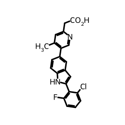 Cc1cc(CC(=O)O)ncc1-c1ccc2[nH]c(-c3c(F)cccc3Cl)cc2c1